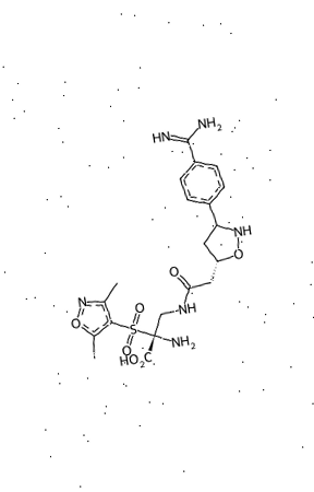 Cc1noc(C)c1S(=O)(=O)[C@@](N)(CNC(=O)C[C@@H]1CC(c2ccc(C(=N)N)cc2)NO1)C(=O)O